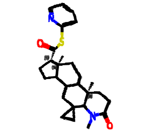 CN1C(=O)CC[C@]2(C)C3CC[C@@]4(C)C(CC[C@@H]4C(=O)Sc4ccccn4)C3CC3(CC3)C12